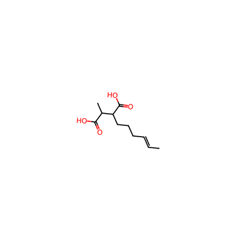 CC=CCCCC(C(=O)O)C(C)C(=O)O